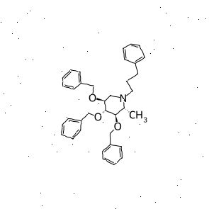 C[C@@H]1[C@@H](OCc2ccccc2)[C@H](OCc2ccccc2)[C@@H](OCc2ccccc2)CN1CCCc1ccccc1